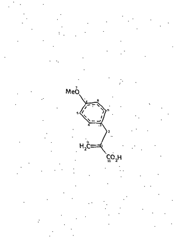 C=C(Cc1ccc(OC)cc1)C(=O)O